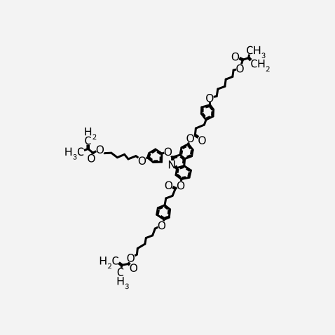 C=C(C)C(=O)OCCCCCCOc1ccc(CCC(=O)Oc2ccc3c(c2)nc(Oc2ccc(OCCCCCCOC(=O)C(=C)C)cc2)c2cc(OC(=O)CCc4ccc(OCCCCCCOC(=O)C(=C)C)cc4)ccc23)cc1